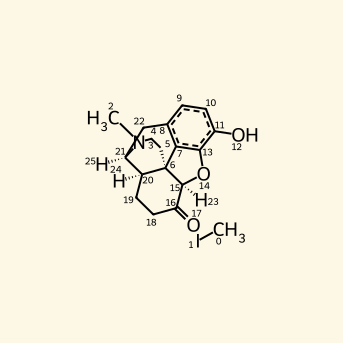 CI.CN1CC[C@]23c4c5ccc(O)c4O[C@H]2C(=O)CC[C@H]3[C@H]1C5